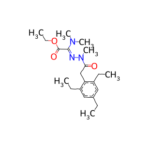 CCOC(=O)C(=NN(C)C(=O)Cc1c(CC)cc(CC)cc1CC)N(C)C